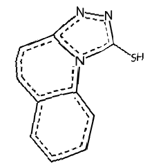 Sc1nnc2ccc3ccccc3n12